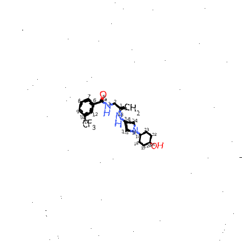 C=C(CNC(=O)c1cccc(C(F)(F)F)c1)NC1CN(C2CCC(O)CC2)C1